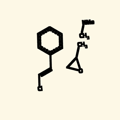 CC1CO1.CNC.ClC=Cc1ccccc1